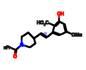 CCCC(=O)N1CCC(/C=C/c2cc(OC)cc(O)c2C(=O)O)CC1